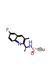 Cc1cc2cc(F)ccc2nc1[C@H](C)N[S+]([O-])C(C)(C)C